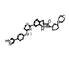 O=C(NC1CCCC(N2CCOCC2)C1)c1cc2ccc(-c3nccc(Nc4ccc(-c5cn[nH]c5)cc4)n3)cc2[nH]1